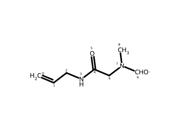 C=CCNC(=O)CN(C)[C]=O